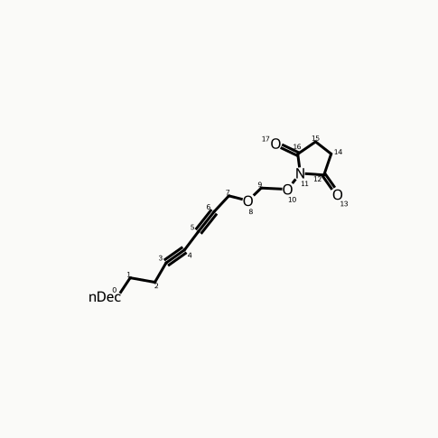 CCCCCCCCCCCCC#CC#CCOCON1C(=O)CCC1=O